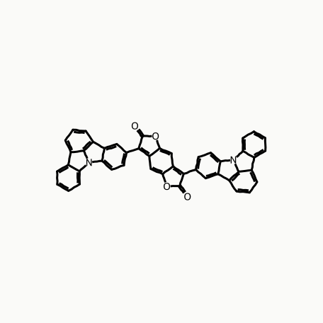 O=C1Oc2cc3c(cc2=C1c1ccc2c(c1)c1cccc4c5ccccc5n2c41)OC(=O)C=3c1ccc2c(c1)c1cccc3c4ccccc4n2c31